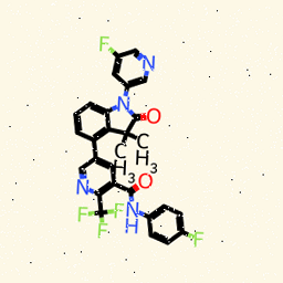 CC1(C)C(=O)N(c2cncc(F)c2)c2cccc(-c3cnc(C(F)(F)F)c(C(=O)Nc4ccc(F)cc4)c3)c21